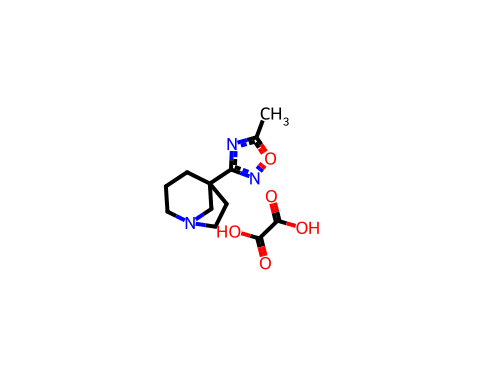 Cc1nc(C23CCCN(CC2)C3)no1.O=C(O)C(=O)O